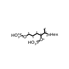 CCCCCCC(C)C(CCCOS(=O)(=O)O)OS(=O)(=O)O